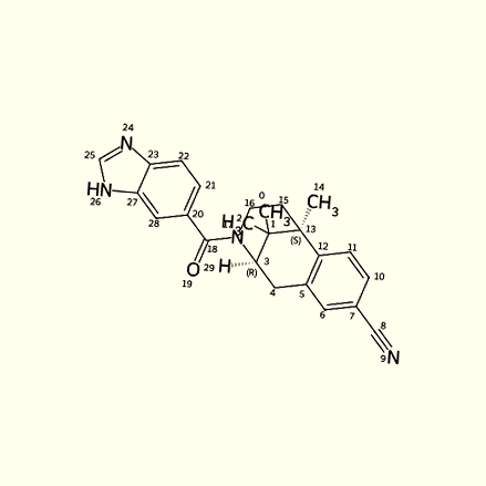 CC1(C)[C@H]2Cc3cc(C#N)ccc3[C@]1(C)CCN2C(=O)c1ccc2nc[nH]c2c1